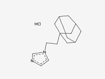 Cl.c1cn(CCC23CC4CC(CC(C4)C2)C3)cn1